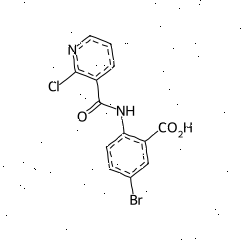 O=C(O)c1cc(Br)ccc1NC(=O)c1cccnc1Cl